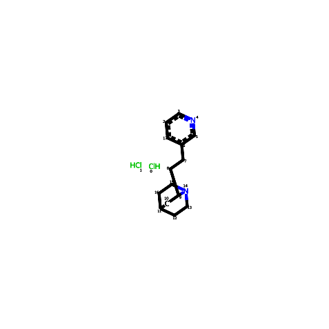 Cl.Cl.c1cncc(CCC2CC3CCN2CC3)c1